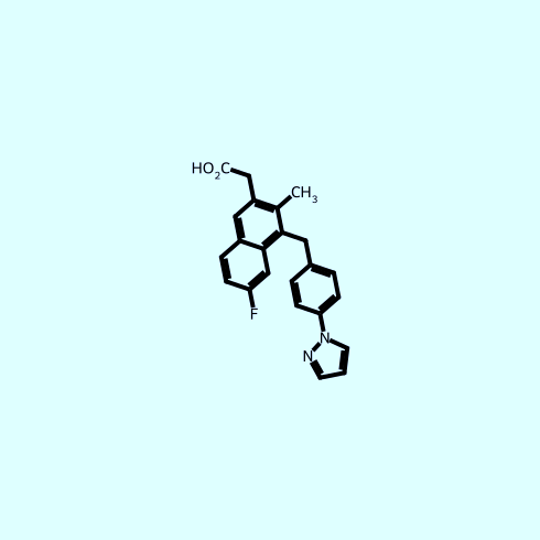 Cc1c(CC(=O)O)cc2ccc(F)cc2c1Cc1ccc(-n2cccn2)cc1